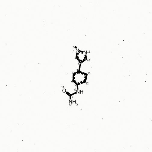 Cn1cc(-c2ccc(NC(N)=O)cc2)cn1